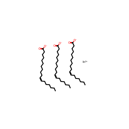 CCCCCC/C=C\CCCCCCCCCC(=O)[O-].CCCCCC/C=C\CCCCCCCCCC(=O)[O-].CCCCCC/C=C\CCCCCCCCCC(=O)[O-].[In+3]